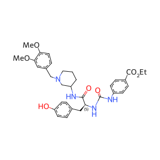 CCOC(=O)c1ccc(NC(=O)N[C@@H](Cc2ccc(O)cc2)C(=O)NC2CCCN(Cc3ccc(OC)c(OC)c3)C2)cc1